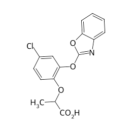 CC(Oc1ccc(Cl)cc1Oc1nc2ccccc2o1)C(=O)O